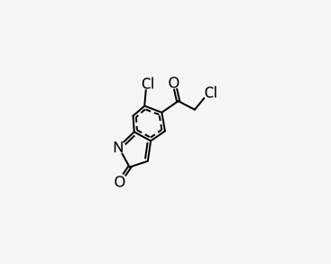 O=C1C=c2cc(C(=O)CCl)c(Cl)cc2=N1